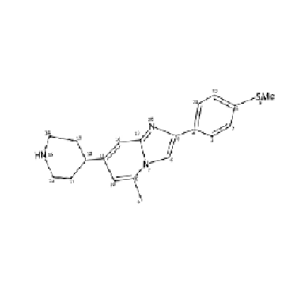 CSc1ccc(-c2cn3c(C)cc(C4CCNCC4)cc3n2)cc1